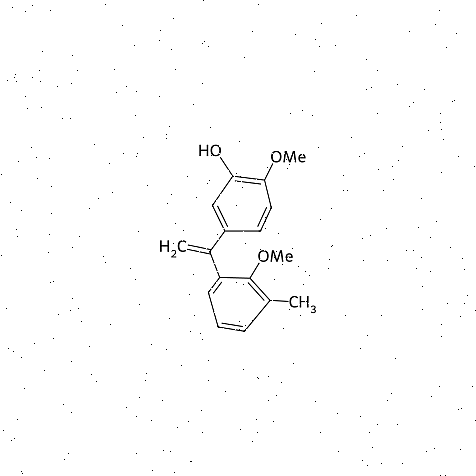 C=C(c1ccc(OC)c(O)c1)c1cccc(C)c1OC